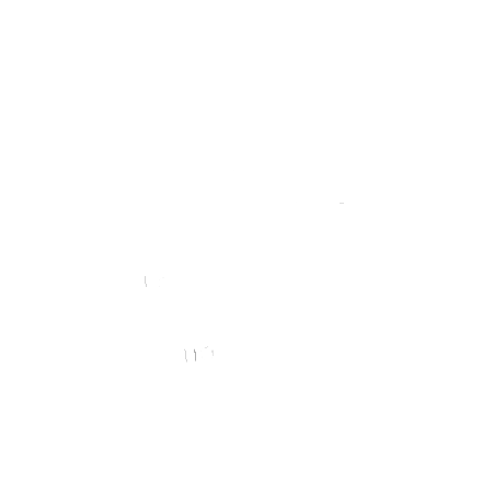 CC(CO)c1[c]c(F)cc(F)c1